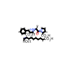 CCCCCCCC/C=C\CCCCCCCC(=O)O.CCOC(=O)[C@H](CCc1ccccc1)N[C@@H](C)C(=O)N1CCC[C@H]1C(=O)O